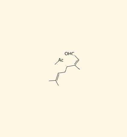 CC(C)=CCCC(C)=CC=O.CC(C)=O